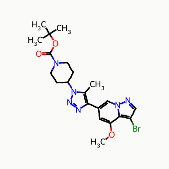 COc1cc(-c2nnn(C3CCN(C(=O)OC(C)(C)C)CC3)c2C)cn2ncc(Br)c12